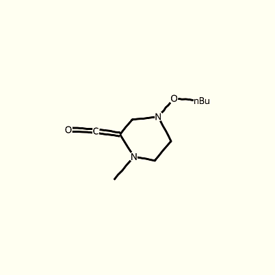 CCCCON1CCN(C)C(=C=O)C1